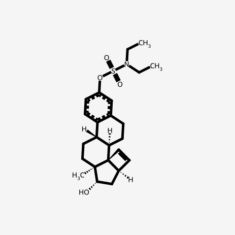 CCN(CC)S(=O)(=O)Oc1ccc2c(c1)CC[C@@H]1[C@@H]2CC[C@]2(C)[C@@H](O)C[C@@H]3C=C[C@@]132